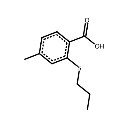 CCCSc1cc(C)ccc1C(=O)O